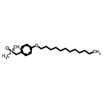 CCCCCCCCCCCCOc1ccc(C[N+](C)(C)[O-])cc1